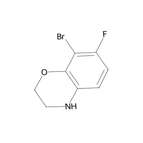 Fc1ccc2c(c1Br)OCCN2